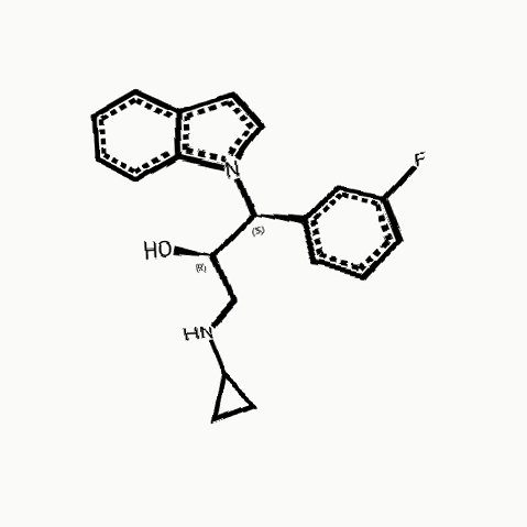 O[C@H](CNC1CC1)[C@H](c1cccc(F)c1)n1ccc2ccccc21